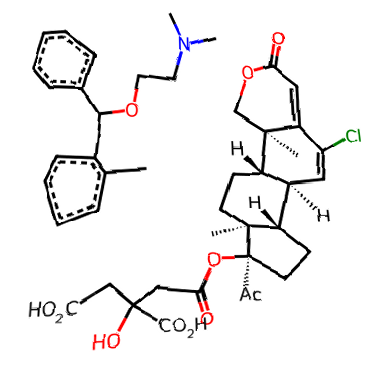 CC(=O)[C@@]1(OC(=O)CC(O)(CC(=O)O)C(=O)O)CC[C@H]2[C@@H]3C=C(Cl)C4=CC(=O)OC[C@]4(C)[C@H]3CC[C@@]21C.Cc1ccccc1C(OCCN(C)C)c1ccccc1